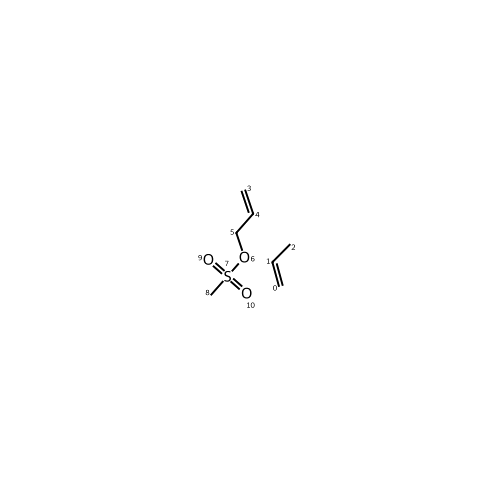 C=CC.C=CCOS(C)(=O)=O